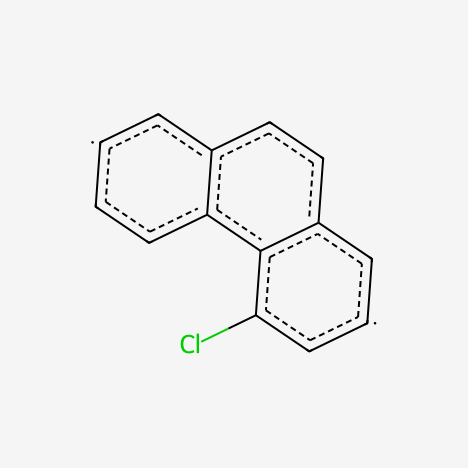 Clc1c[c]cc2ccc3c[c]ccc3c12